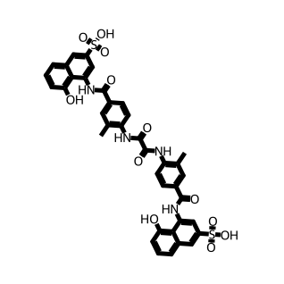 Cc1cc(C(=O)Nc2cc(S(=O)(=O)O)cc3cccc(O)c23)ccc1NC(=O)C(=O)Nc1ccc(C(=O)Nc2cc(S(=O)(=O)O)cc3cccc(O)c23)cc1C